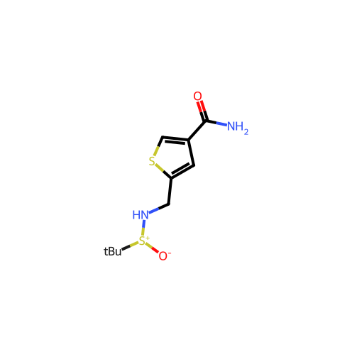 CC(C)(C)[S+]([O-])NCc1cc(C(N)=O)cs1